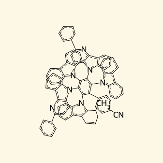 CC1CC=Cc2c1n(-c1c(-c3ccc(C#N)cc3)c(-n3c4ccccc4c4ccccc43)c(-n3c4ccccc4c4nc(-c5ccccc5)ccc43)c(-n3c4ccccc4c4ccccc43)c1-n1c3ccccc3c3nc(-c4ccccc4)ccc31)c1ccccc21